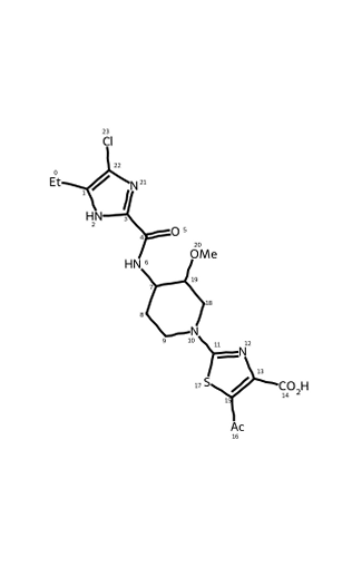 CCc1[nH]c(C(=O)NC2CCN(c3nc(C(=O)O)c(C(C)=O)s3)CC2OC)nc1Cl